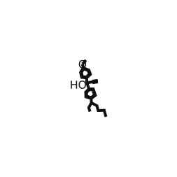 C#CC(O)(c1ccc(OC)cc1)c1ccc(C(CC)CCCC)cc1